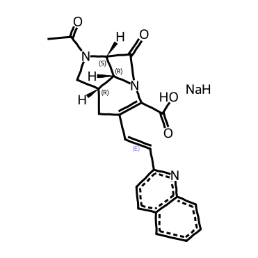 CC(=O)N1C[C@H]2CC(/C=C/c3ccc4ccccc4n3)=C(C(=O)O)N3C(=O)[C@@H]1[C@@H]23.[NaH]